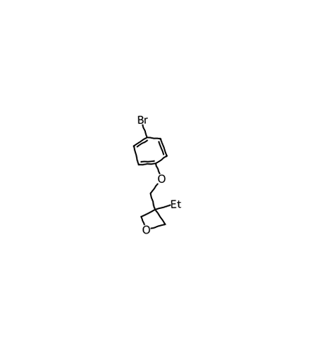 CCC1(COc2ccc(Br)cc2)COC1